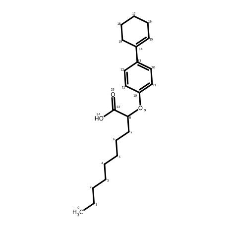 CCCCCCCCC(Oc1ccc(C2=CCCCC2)cc1)C(=O)O